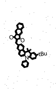 CC(C)(C)c1ccc2c(c1)C(C)(C)c1c(ccc3cc(C=C4C(=O)c5cc6ccccc6cc5C4=O)ccc13)N2c1ccccc1